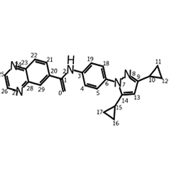 C=C(Nc1ccc(-n2nc(C3CC3)cc2C2CC2)cc1)c1ccc2nccnc2c1